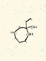 CCC1(O)CNCCCN1